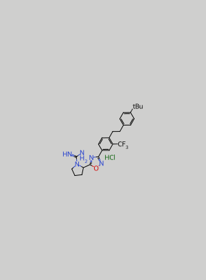 CC(C)(C)c1ccc(CCc2ccc(-c3noc(C4CCCN4C(=N)N)n3)cc2C(F)(F)F)cc1.Cl